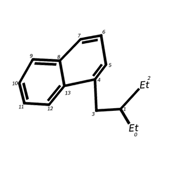 CCC(CC)Cc1cccc2ccccc12